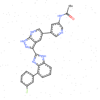 CC(C)(C)C(=O)Nc1cncc(-c2cnc3[nH]nc(-c4nc5c(-c6cccc(F)c6)cccc5[nH]4)c3c2)c1